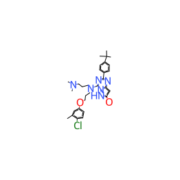 Cc1cc(OCCCN(CCCN(C)C)c2nc(-c3ccc(C(C)(C)C)cc3)nc3cc(=O)[nH]n23)ccc1Cl